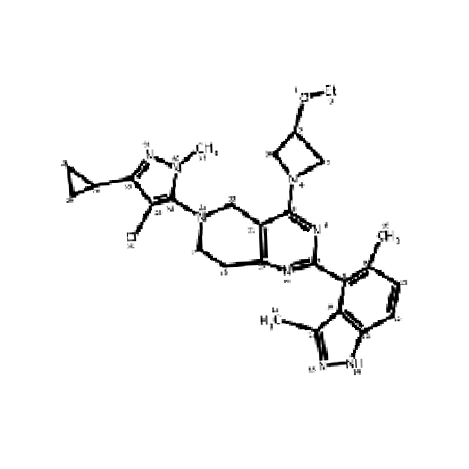 CCOC1CN(c2nc(-c3c(C)ccc4[nH]nc(C)c34)nc3c2CN(c2c(Cl)c(C4CC4)nn2C)CC3)C1